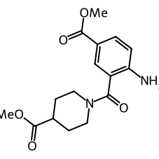 COC(=O)c1ccc(N)c(C(=O)N2CCC(C(=O)OC)CC2)c1